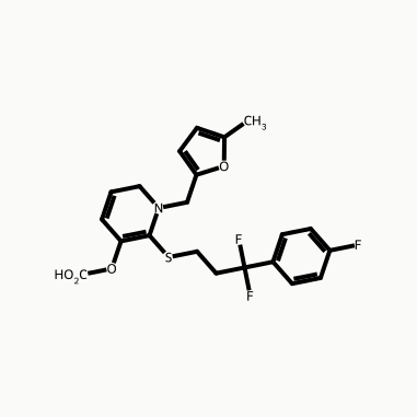 Cc1ccc(CN2CC=CC(OC(=O)O)=C2SCCC(F)(F)c2ccc(F)cc2)o1